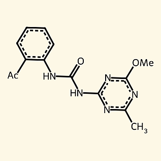 COc1nc(C)nc(NC(=O)Nc2ccccc2C(C)=O)n1